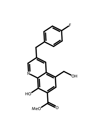 COC(=O)c1cc(CO)c2cc(Cc3ccc(F)cc3)cnc2c1O